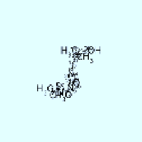 CC(C)C1=NC(C(=O)N2CCOC3(CCN(CCCCCC(C)(C)CCCO)CC3)C2)CS1